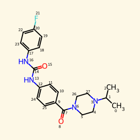 CC(C)N1CCN(C(=O)c2ccc(NC(=O)Nc3ccc(F)cc3)cc2)CC1